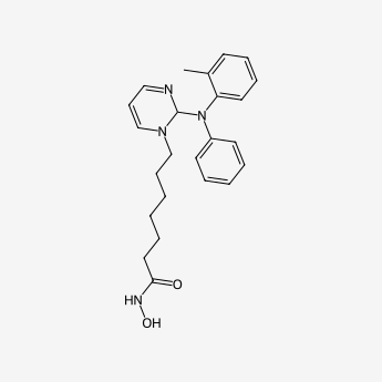 Cc1ccccc1N(c1ccccc1)C1N=CC=CN1CCCCCCC(=O)NO